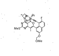 COCOc1cc(-c2oc(=O)c3c(N4CC[C@H]4C)nc(SC)nc3c2C)c2c(C#C[Si](C(C)C)(C(C)C)C(C)C)c(F)ccc2c1